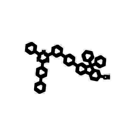 N#Cc1ccc2c(c1)C(c1ccccc1)(c1ccccc1)c1cc(-c3ccc(-c4cccc(-c5nc(-c6ccccc6)nc(-c6ccc(-c7ccccc7)cc6)n5)c4)cc3)ccc1-2